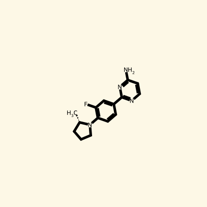 C[C@H]1CCCN1c1ccc(-c2nccc(N)n2)cc1F